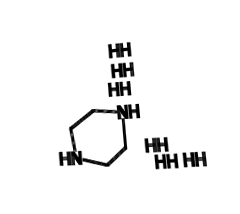 C1CNCCN1.[HH].[HH].[HH].[HH].[HH].[HH]